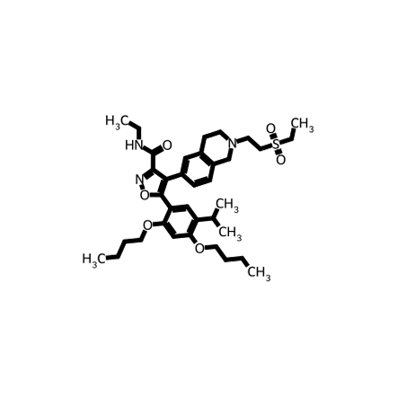 CCCCOc1cc(OCCCC)c(C(C)C)cc1-c1onc(C(=O)NCC)c1-c1ccc2c(c1)CCN(CCS(=O)(=O)CC)C2